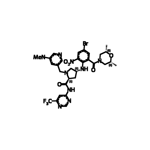 CNc1cncc(CN2C[C@H](Nc3c(C(=O)N4C[C@@H](C)O[C@@H](C)C4)cc(Br)cc3[N+](=O)[O-])C[C@H]2C(=O)Nc2cc(C(F)(F)F)ncn2)c1